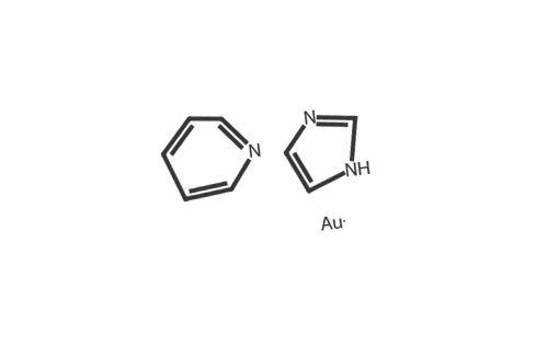 [Au].c1c[nH]cn1.c1ccncc1